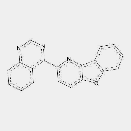 c1ccc2c(-c3ccc4oc5ccccc5c4n3)ncnc2c1